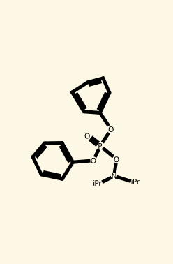 CC(C)N(OP(=O)(Oc1ccccc1)Oc1ccccc1)C(C)C